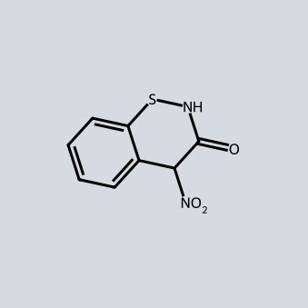 O=C1NSc2ccccc2C1[N+](=O)[O-]